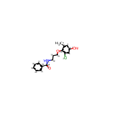 Cc1cc(O)cc(Cl)c1OCCCNC(=O)c1ccccc1